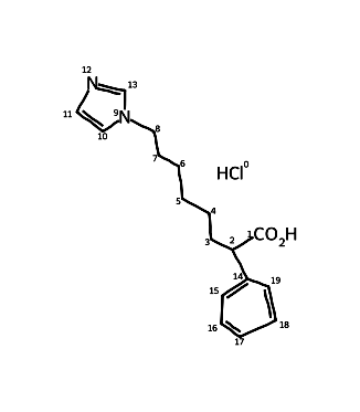 Cl.O=C(O)C(CCCCCCn1ccnc1)c1ccccc1